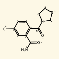 NC(=O)c1cc(Cl)ccc1C(=O)N1CCSC1